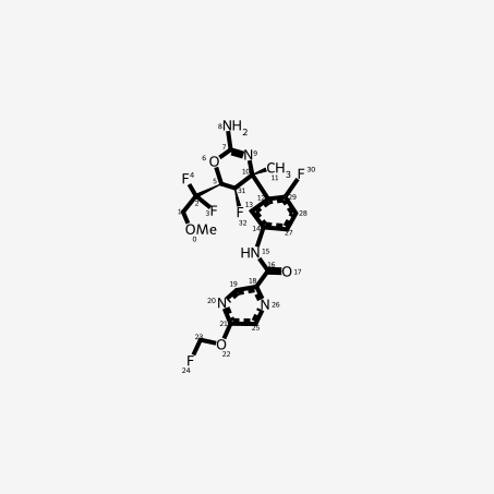 COCC(F)(F)[C@H]1OC(N)=N[C@](C)(c2cc(NC(=O)c3cnc(OCF)cn3)ccc2F)[C@H]1F